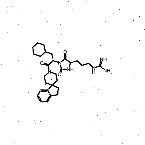 N=C(N)NCCC[C@H]1NC(=O)N([C@H](CC2CCCCC2)C(=O)N2CCC3(CCc4ccccc43)CC2)C1=O